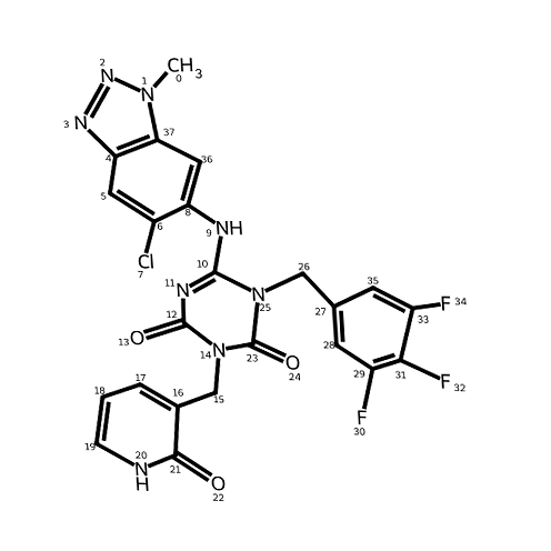 Cn1nnc2cc(Cl)c(Nc3nc(=O)n(Cc4ccc[nH]c4=O)c(=O)n3Cc3cc(F)c(F)c(F)c3)cc21